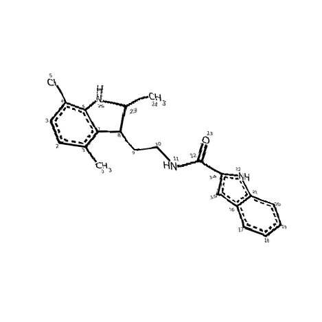 Cc1ccc(Cl)c2c1C(CCNC(=O)c1cc3ccccc3[nH]1)C(C)N2